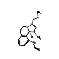 CCCN1C[C@H](C)[C@H]2c3c(cccc3NC=O)CCC21